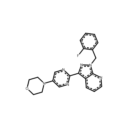 Fc1ccccc1Cn1nc(-c2ncc(N3CCOCC3)cn2)c2cccnc21